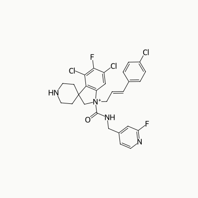 O=C(NCc1ccnc(F)c1)[N+]1(C/C=C/c2ccc(Cl)cc2)CC2(CCNCC2)c2c1cc(Cl)c(F)c2Cl